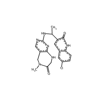 CC(Nc1ncc2c(n1)NCC(=O)N(C)C2)c1cc2cc(Cl)ccc2[nH]c1=O